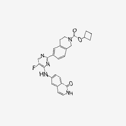 O=C(OC1CCC1)N1CCc2cc(-c3ncc(F)c(Nc4ccc5c(=O)[nH]ccc5c4)n3)ccc2C1